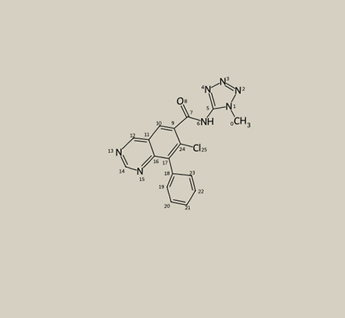 Cn1nnnc1NC(=O)c1cc2cncnc2c(-c2ccccc2)c1Cl